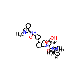 COc1c(CN2O[C@@H](CO)[C@H](C(C)C)[C@H]2C(=O)N[C@H]2C[C@H]3C[C@@H]([C@@H]2C)C3(C)C)cccc1-c1cccc(C(=O)N[C@@H](CN(C)C)c2ccccc2)c1